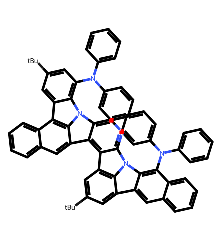 CC(C)(C)c1cc(N(c2ccccc2)c2ccccc2)c2c(c1)c1c3ccccc3cc3c4c5c6cc(C(C)(C)C)cc7c8cc9ccccc9c(N(c9ccccc9)c9ccccc9)c8n(c5ncc4n2c31)c76